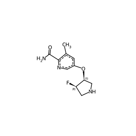 Cc1cc(O[C@H]2CNC[C@H]2F)cnc1C(N)=O